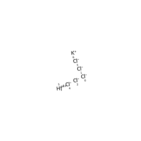 [Cl-].[Cl-].[Cl-].[Cl-].[Cl-].[Hf+4].[K+]